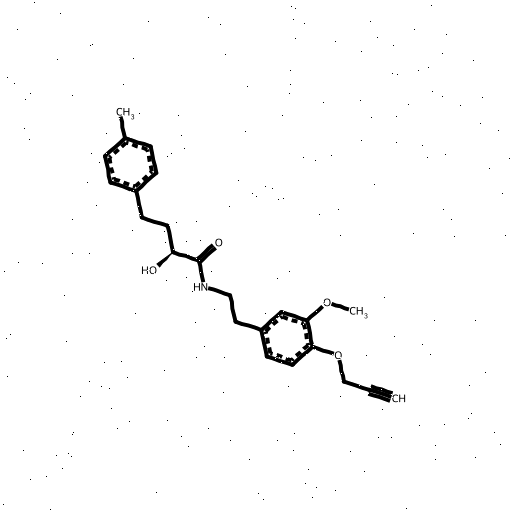 C#CCOc1ccc(CCNC(=O)[C@@H](O)CCc2ccc(C)cc2)cc1OC